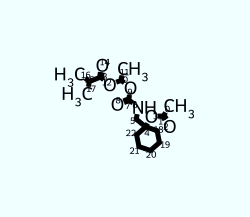 CC(=O)OC1(CNC(=O)OC(C)OC(=O)C(C)C)CCCCC1